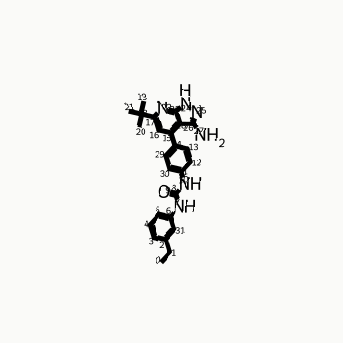 CCc1cccc(NC(=O)Nc2ccc(-c3cc(C(C)(C)C)nc4[nH]nc(N)c34)cc2)c1